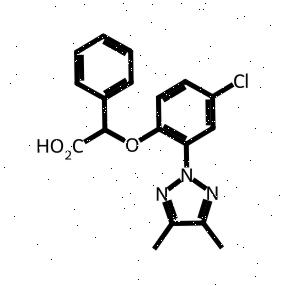 Cc1nn(-c2cc(Cl)ccc2OC(C(=O)O)c2ccccc2)nc1C